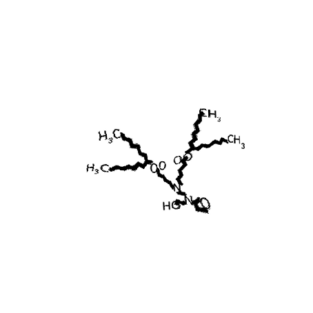 CCCCCCCCC(CCCCCCCC)COC(=O)CCCCCN(CCCCCC(=O)OCC(CCCCCCCC)CCCCCCCC)CCN(CCO)C1CCOC1